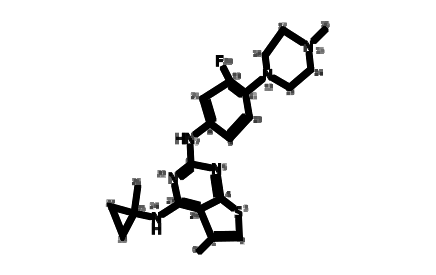 Cc1csc2nc(Nc3ccc(N4CCN(C)CC4)c(F)c3)nc(NC3(C)CC3)c12